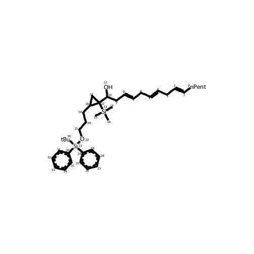 CCCCCC=CCC=CCC=CCC(O)C1([Si](C)(C)C)CC1CCCO[Si](c1ccccc1)(c1ccccc1)C(C)(C)C